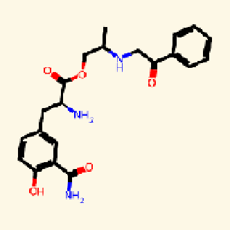 CC(COC(=O)[C@@H](N)Cc1ccc(O)c(C(N)=O)c1)NCC(=O)c1ccccc1